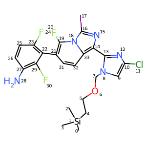 C[Si](C)(C)CCOCn1cc(Cl)nc1-c1nc(I)n2c(F)c(-c3c(F)ccc(N)c3F)ccc12